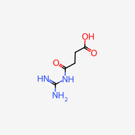 N=C(N)NC(=O)CCC(=O)O